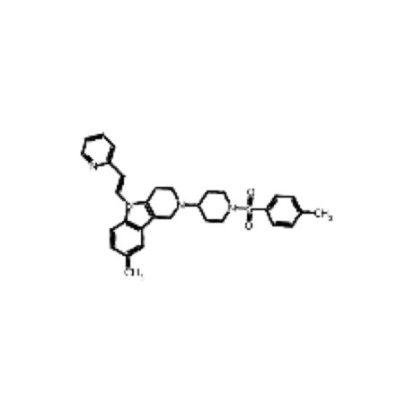 Cc1ccc(S(=O)(=O)N2CCC(N3CCc4c(c5cc(C)ccc5n4C=Cc4ccccn4)C3)CC2)cc1